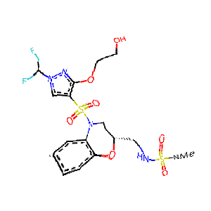 CNS(=O)(=O)NC[C@H]1CN(S(=O)(=O)c2cn(C(F)F)nc2OCCO)c2c[c]ccc2O1